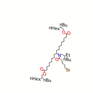 CCCCCCC(CCCC)COC(=O)CCCCCCCCC(CCCCCCCCC(=O)OCC(CCCC)CCCCCC)N(CC(CC)CCCC)C(=O)CCCCBr